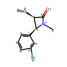 CO[C@H]1C(=O)N(C)[C@H]1c1cccc(Br)c1